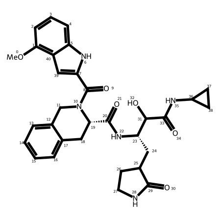 COc1cccc2[nH]c(C(=O)N3Cc4ccccc4C[C@H]3C(=O)N[C@@H](CC3CCNC3=O)C(O)C(=O)NC3CC3)cc12